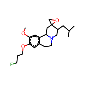 COc1cc2c(cc1OCCCF)CCN1CC(CC(C)C)C3(CO3)CC21